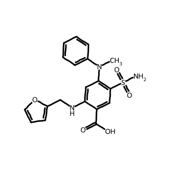 CN(c1ccccc1)c1cc(NCc2ccco2)c(C(=O)O)cc1S(N)(=O)=O